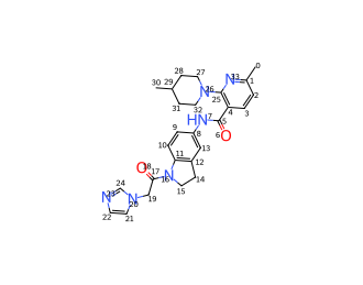 Cc1ccc(C(=O)Nc2ccc3c(c2)CCN3C(=O)Cn2ccnc2)c(N2CCC(C)CC2)n1